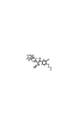 CCCCc1ccc(N/C(=N/C#N)NCC23CC4CC(CC2C4)C3)cc1I